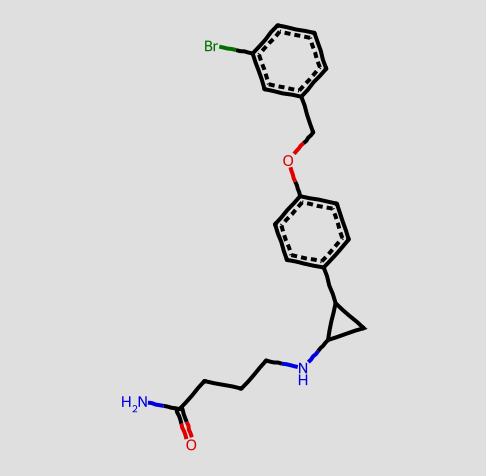 NC(=O)CCCNC1CC1c1ccc(OCc2cccc(Br)c2)cc1